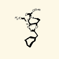 C=CC[C@H]1[C@@H]2ON=C(Cc3ccccc3)OC2C=CN1C(=O)OC